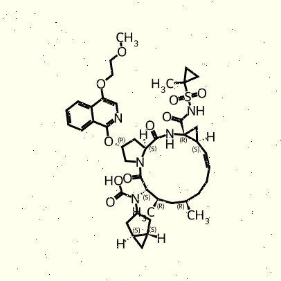 COCCOc1cnc(O[C@@H]2C[C@H]3C(=O)N[C@]4(C(=O)NS(=O)(=O)C5(C)CC5)C[C@H]4C=CCC[C@@H](C)C[C@@H](C)[C@H](N(C(=O)O)C4C[C@@H]5C[C@H]5C4)C(=O)N3C2)c2ccccc12